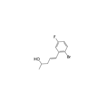 CC(O)CC=Cc1cc(F)ccc1Br